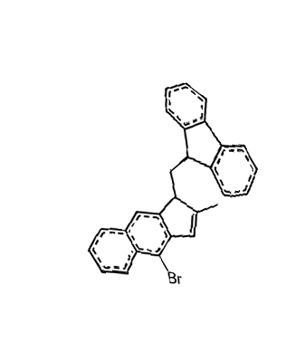 CC1=Cc2c(cc3ccccc3c2Br)C1CC1c2ccccc2-c2ccccc21